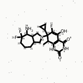 CC1c2[nH]c(=O)[nH]c(=O)c2C(O)=C(F)C1(C1CC1)N1CC2CCCC(F)(F)C(N)C2C1